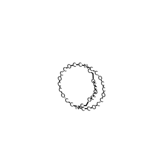 C1COCCN2CCOCCOCCOCCN(CCOCCO1)CCOCCOCCOCC2